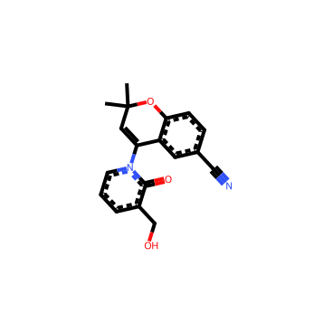 CC1(C)C=C(n2cccc(CO)c2=O)c2cc(C#N)ccc2O1